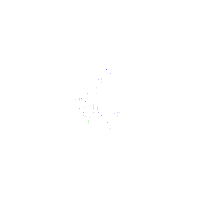 Cc1cc(Nc2ncc(F)c(NC3C(C4CC4)C4C=CC3(C(N)=O)C4)n2)ccc1N1CCN(C)CC1